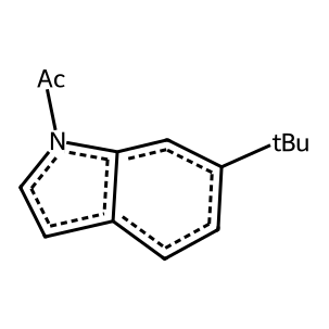 CC(=O)n1ccc2ccc(C(C)(C)C)cc21